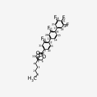 CCCCCC12COC(c3ccc(-c4ccc(-c5cc(F)c(F)c(F)c5)c(F)c4)c(F)c3)(OC1)OC2